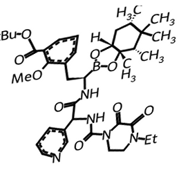 CCN1CCN(C(=O)NC(C(=O)N[C@@H](Cc2cccc(C(=O)OC(C)(C)C)c2OC)B2O[C@@H]3C[C@H](C)C(C)(C)[C@H](C)[C@]3(C)O2)c2cccnc2)C(=O)C1=O